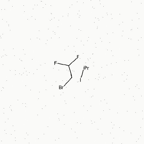 CC(C)I.FC(F)CBr